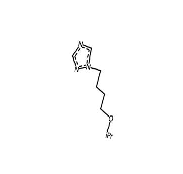 CC(C)OCCCCn1cncn1